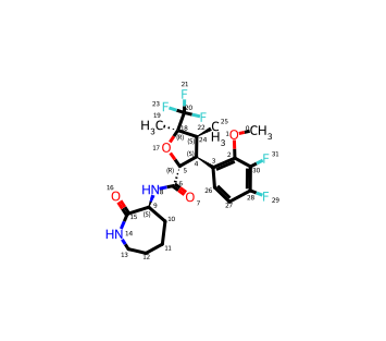 COc1c([C@H]2[C@H](C(=O)N[C@H]3CCCCNC3=O)O[C@@](C)(C(F)(F)F)[C@H]2C)ccc(F)c1F